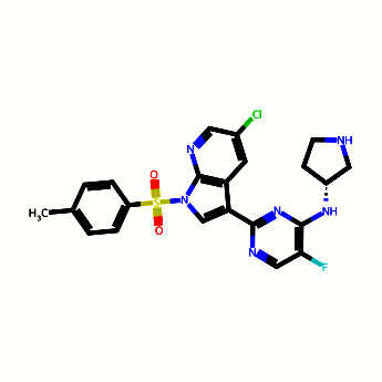 Cc1ccc(S(=O)(=O)n2cc(-c3ncc(F)c(N[C@@H]4CCNC4)n3)c3cc(Cl)cnc32)cc1